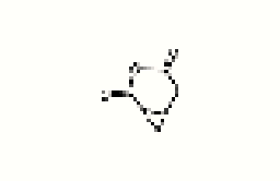 O=C1CC2CC2C(=O)O1